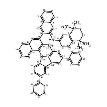 CC1(C)CCC(C)(C)c2cc(Nc3cc4ccccc4cc3-c3cc4ccccc4c4c3Bc3cc(-c5ccccc5)cc5c6cc(-c7ccccc7)ccc6n-4c35)ccc21